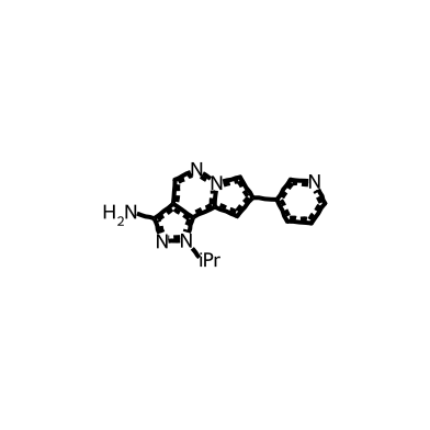 CC(C)n1nc(N)c2cnn3cc(-c4cccnc4)cc3c21